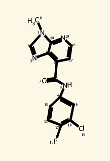 Cn1cnc2c(C(=O)Nc3ccc(F)c(Cl)c3)ccnc21